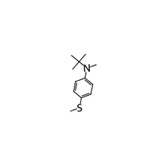 CSc1ccc(N(C)C(C)(C)C)cc1